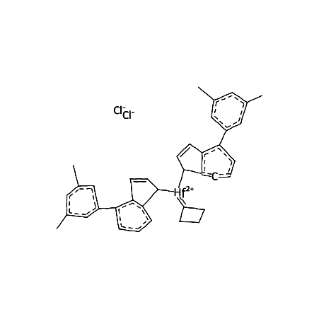 Cc1cc(C)cc(-c2cccc3c2C=C[CH]3[Hf+2](=[C]2CCC2)[CH]2C=Cc3c(-c4cc(C)cc(C)c4)cccc32)c1.[Cl-].[Cl-]